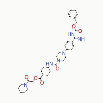 N=C(NC(=O)OCc1ccccc1)c1ccc(N2CCN(C(=O)N[C@H]3CC[C@H](C(=O)OCC(=O)N4CCCCC4)CC3)CC2)cc1